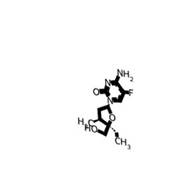 CC[C@@]1(CO)O[C@@H](n2cc(F)c(N)nc2=O)C[C@@H]1C